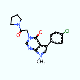 Cn1cc(-c2ccc(Cl)cc2)c2c(=O)n(CC(=O)N3CCCC3)cnc21